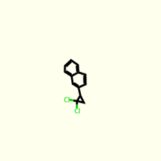 ClC1(Cl)CC1c1ccc2ccccc2c1